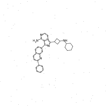 Nc1nccn2c(C3CC(NC4CCCCC4)C3)nc(-c3ccc4ccc(-c5ccccc5)nc4c3)c12